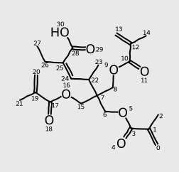 C=C(C)C(=O)OCC(COC(=O)C(=C)C)(COC(=O)C(=C)C)C(C)C=C(CC)C(=O)O